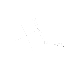 CC(C)(C)[S@@](C)(=O)=NC#N